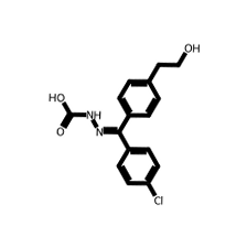 O=C(O)NN=C(c1ccc(Cl)cc1)c1ccc(CCO)cc1